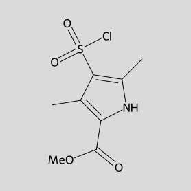 COC(=O)c1[nH]c(C)c(S(=O)(=O)Cl)c1C